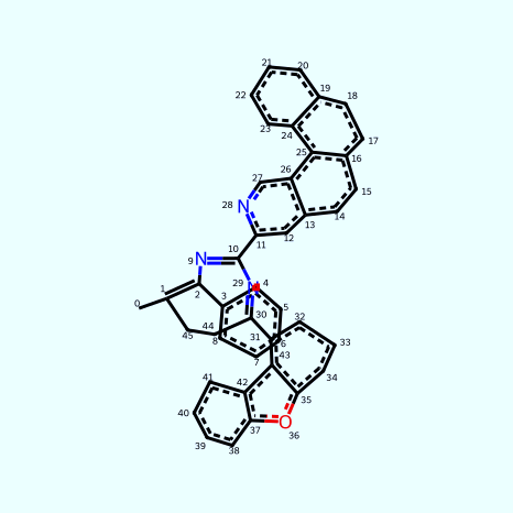 C\C1=C(c2ccccc2)/N=C(c2cc3ccc4ccc5ccccc5c4c3cn2)\N=C(\c2cccc3oc4ccccc4c23)CC1